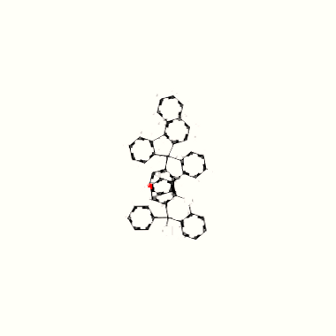 CC1(c2ccccc2)c2ccccc2Oc2c(-c3ccccc3C3(c4ccccc4)c4ccccc4-c4c3ccc3ccccc43)cccc21